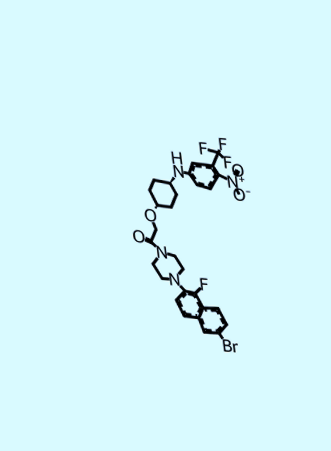 O=C(CO[C@H]1CC[C@H](Nc2ccc([N+](=O)[O-])c(C(F)(F)F)c2)CC1)N1CCN(c2ccc3cc(Br)ccc3c2F)CC1